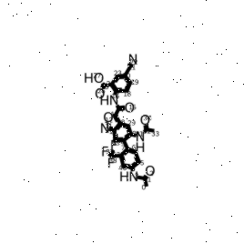 CC(=O)Nc1ccc(-c2cc3noc(C(=O)Nc4ccc(C#N)cc4C(=O)O)c3cc2NC(C)=O)c(C(F)(F)F)c1